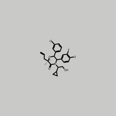 C=CC[C@@]1(C)OC(c2cccc(Cl)c2)C(c2ccc(Cl)c(F)c2)N(C(CO)C2CC2)C1=O